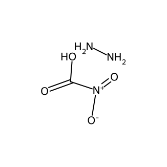 NN.O=C(O)[N+](=O)[O-]